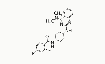 CN(C)c1nc(N[C@H]2CC[C@@H](NC(=O)c3ccc(F)cc3F)CC2)nc2ccccc12